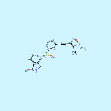 Cc1onc(C#Cc2cccc(S(=O)(=O)Nc3cccc4c3CNC4=O)c2)c1C